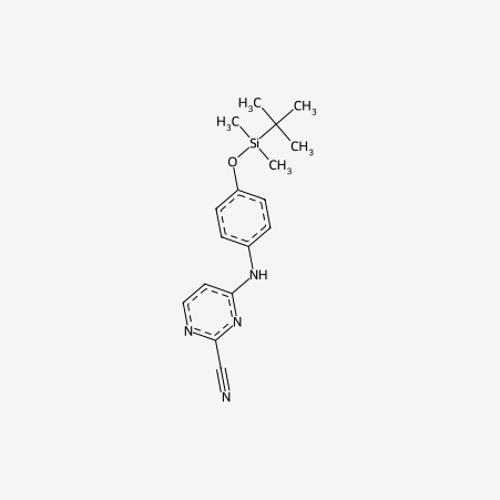 CC(C)(C)[Si](C)(C)Oc1ccc(Nc2ccnc(C#N)n2)cc1